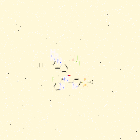 Cc1cc2cc(C(=O)N(Cc3ccc(S(=O)(=O)C4CC4)cn3)[C@H](C)c3ncccc3F)ccc2nc1N.O=C(O)C(F)(F)F